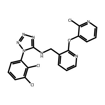 Clc1cccc(-n2nnnc2NCc2cccnc2Oc2cccnc2Cl)c1Cl